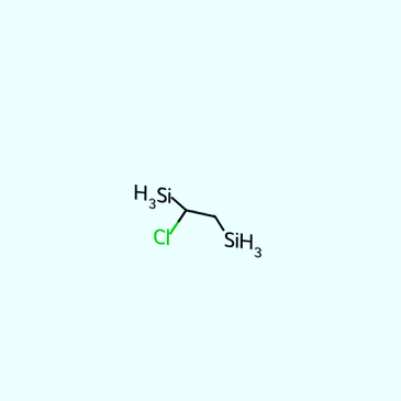 [SiH3]CC([SiH3])Cl